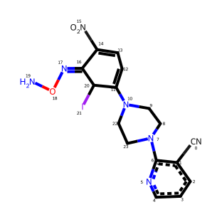 N#Cc1cccnc1N1CCN(C2=CC=C([N+](=O)[O-])/C(=N/ON)C2I)CC1